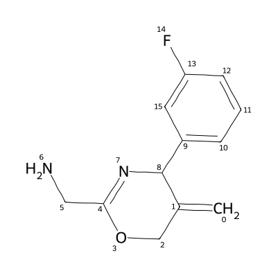 C=C1COC(CN)=NC1c1cccc(F)c1